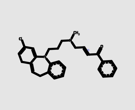 CN(C/C=C/C(=O)c1ccccc1)CCCN1C2=CC(Cl)=CCC2=CCc2ccccc21